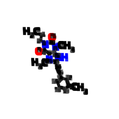 C=CCn1c(=O)c2c(n(C)c1=O)NC(C#Cc1cccc(C)c1)N2C